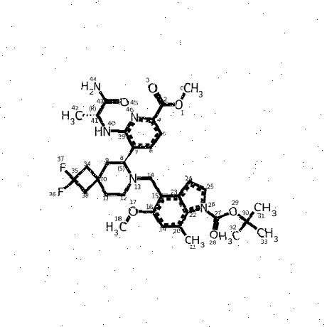 COC(=O)c1ccc([C@@H]2CC3(CCN2Cc2c(OC)cc(C)c4c2ccn4C(=O)OC(C)(C)C)CC(F)(F)C3)c(N[C@H](C)C(N)=O)n1